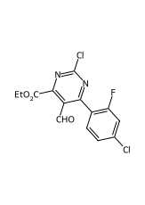 CCOC(=O)c1nc(Cl)nc(-c2ccc(Cl)cc2F)c1C=O